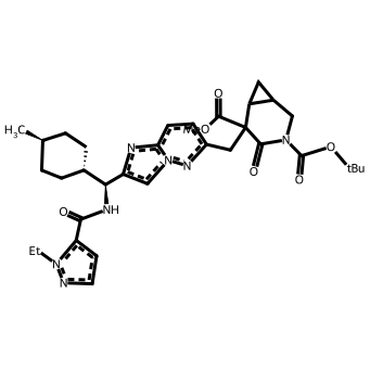 CCn1nccc1C(=O)N[C@H](c1cn2nc(CC3(C(=O)OC)C(=O)N(C(=O)OC(C)(C)C)CC4CC43)ccc2n1)[C@H]1CC[C@H](C)CC1